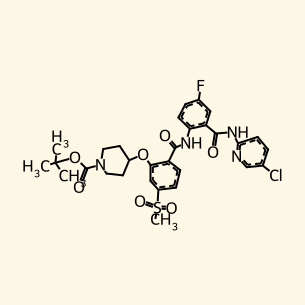 CC(C)(C)OC(=O)N1CCC(Oc2cc(S(C)(=O)=O)ccc2C(=O)Nc2ccc(F)cc2C(=O)Nc2ccc(Cl)cn2)CC1